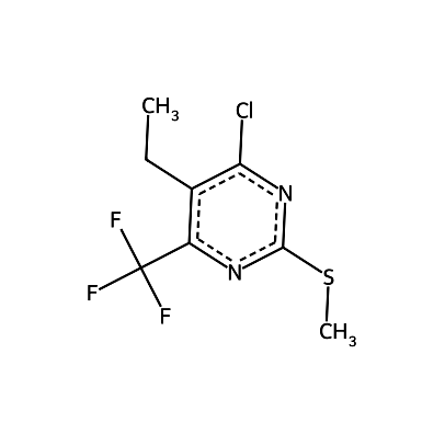 CCc1c(Cl)nc(SC)nc1C(F)(F)F